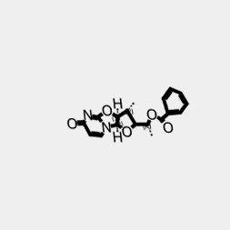 C[C@@H]1C([C@@H](C)OC(=O)c2ccccc2)O[C@@H]2[C@H]1Oc1nc(=O)ccn12